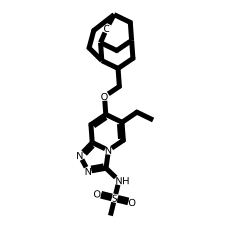 CCc1cn2c(NS(C)(=O)=O)nnc2cc1OCC1CC2CC3CCC1C(C3)C2